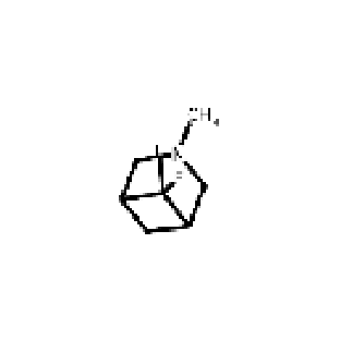 CN1CC2CC(C1)C2(F)F